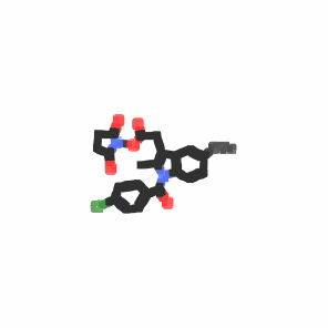 COc1ccc2c(c1)c(CC(=O)ON1C(=O)CCC1=O)c(C)n2C(=O)c1ccc(Cl)cc1